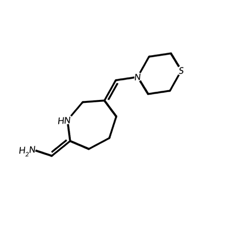 N/C=C1/CCC/C(=C\N2CCSCC2)CN1